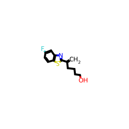 C=C(CCCCO)c1nc2cc(F)ccc2s1